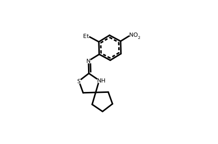 CCc1cc([N+](=O)[O-])ccc1/N=C1\NC2(CCCC2)CS1